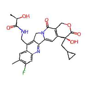 Cc1cc2c(CNC(=O)[C@@H](C)O)c3c(nc2cc1F)-c1cc2c(c(=O)n1C3)COC(=O)[C@]2(O)CC1CC1